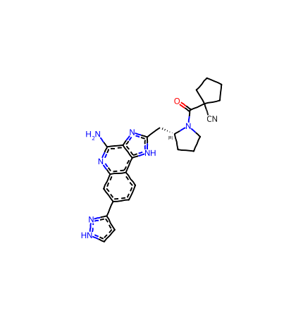 N#CC1(C(=O)N2CCC[C@@H]2Cc2nc3c(N)nc4cc(-c5cc[nH]n5)ccc4c3[nH]2)CCCC1